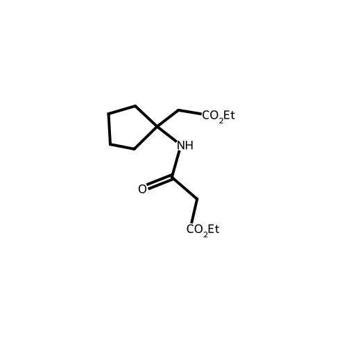 CCOC(=O)CC(=O)NC1(CC(=O)OCC)CCCC1